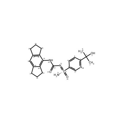 CC(C)(O)c1ccc([S@@](N)(=O)=NC(=O)Nc2c3c(cc4c2CCC4)CCC3)cn1